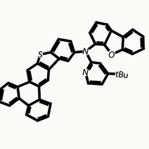 CC(C)(C)c1ccnc(N(c2ccc3sc4cc5c6ccccc6c6ccccc6c5cc4c3c2)c2cccc3c2oc2ccccc23)c1